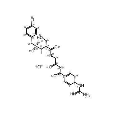 Cl.N=C(N)Nc1ccc(C(=O)NC(=O)CNC(=O)[C@H](CO)NS(=O)(=O)Cc2ccc(Cl)cc2)cc1